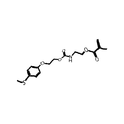 C=C(C)C(=O)OCCNC(=O)OCCOc1ccc(SC)cc1